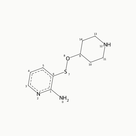 Nc1ncccc1SOC1CCNCC1